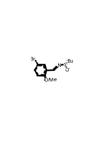 COc1ccc(Br)cc1C=N[S+]([O-])C(C)(C)C